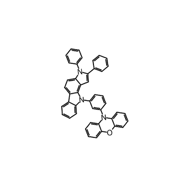 c1ccc(-c2cc3c(ccc4c5ccccc5n(-c5cccc(N6c7ccccc7Oc7ccccc76)c5)c43)n2-c2ccccc2)cc1